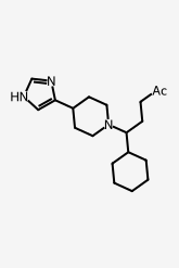 CC(=O)CCC(C1CCCCC1)N1CCC(c2c[nH]cn2)CC1